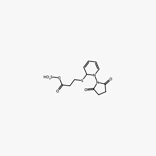 O=C(CCSC1C=CC=CN1N1C(=O)CCC1=O)OS(=O)(=O)O